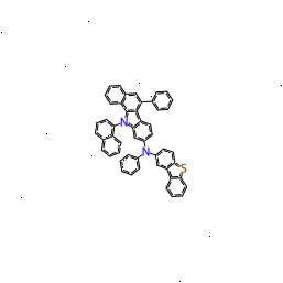 c1ccc(-c2cc3ccccc3c3c2c2ccc(N(c4ccccc4)c4ccc5sc6ccccc6c5c4)cc2n3-c2cccc3ccccc23)cc1